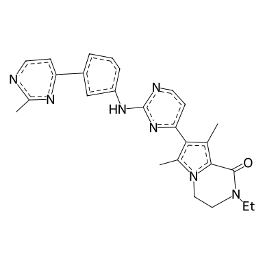 CCN1CCn2c(C)c(-c3ccnc(Nc4cccc(-c5ccnc(C)n5)c4)n3)c(C)c2C1=O